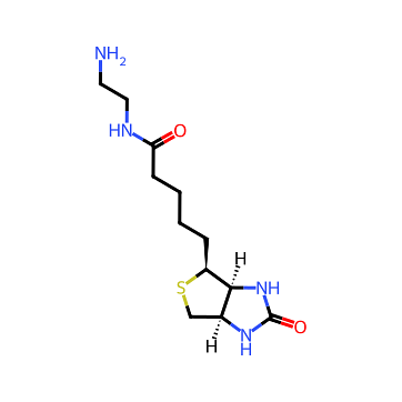 NCCNC(=O)CCCC[C@@H]1SC[C@@H]2NC(=O)N[C@@H]21